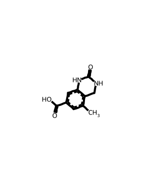 Cc1cc(C(=O)O)cc2c1CNC(=O)N2